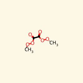 COOC(=O)C(=O)OOC